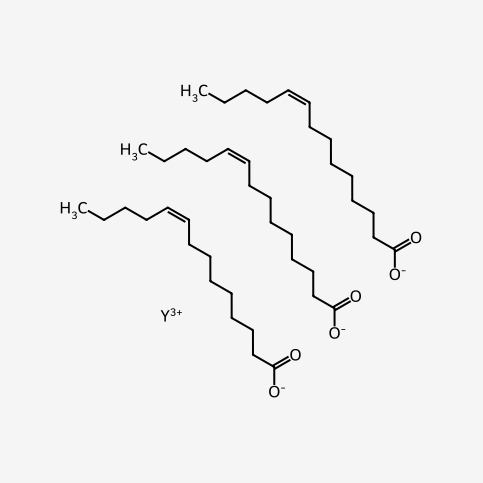 CCCC/C=C\CCCCCCCC(=O)[O-].CCCC/C=C\CCCCCCCC(=O)[O-].CCCC/C=C\CCCCCCCC(=O)[O-].[Y+3]